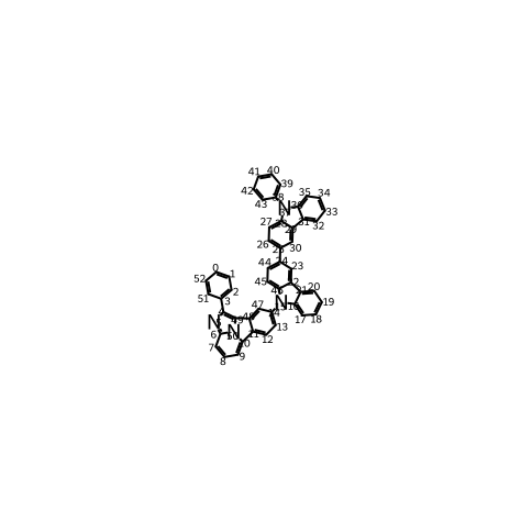 c1ccc(-c2nc3cccc4c5ccc(-n6c7ccccc7c7cc(-c8ccc9c(c8)c8ccccc8n9-c8ccccc8)ccc76)cc5c2n34)cc1